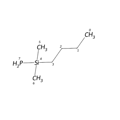 CCCC[Si](C)(C)P